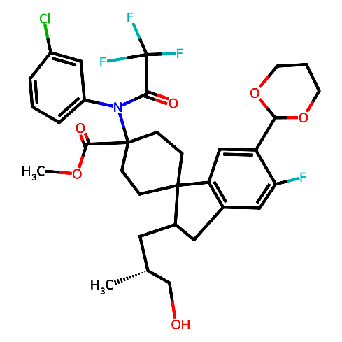 COC(=O)C1(N(C(=O)C(F)(F)F)c2cccc(Cl)c2)CCC2(CC1)c1cc(C3OCCCO3)c(F)cc1CC2C[C@@H](C)CO